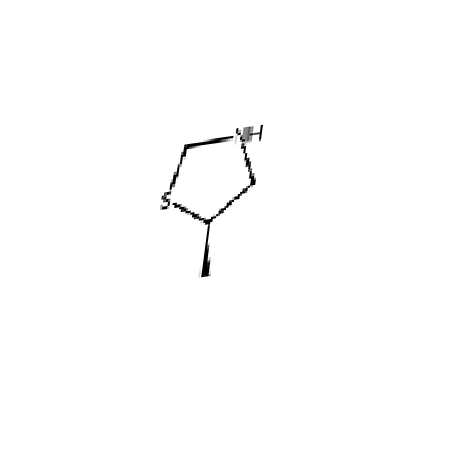 C[C@@H]1CNCS1